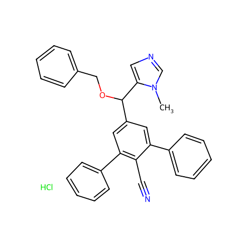 Cl.Cn1cncc1C(OCc1ccccc1)c1cc(-c2ccccc2)c(C#N)c(-c2ccccc2)c1